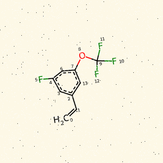 C=[C]c1cc(F)cc(OC(F)(F)F)c1